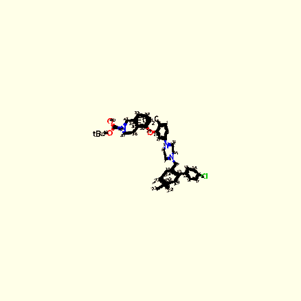 CCOC(=O)c1ccc(N2CCN(CC3=C(c4ccc(Cl)cc4)CC(C)(C)CC3)CC2)cc1Oc1cccc2c1CCN(C(=O)OC(C)(C)C)C2